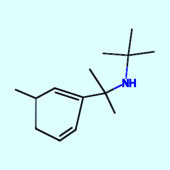 CC1C=C(C(C)(C)NC(C)(C)C)C=CC1